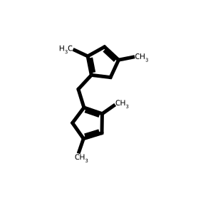 CC1=CC(C)=C(CC2=C(C)C=C(C)C2)C1